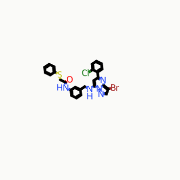 O=C(CSc1ccccc1)Nc1cccc(CNc2cc(-c3ccccc3Cl)nc3c(Br)cnn23)c1